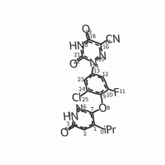 CC(C)c1cc(=O)[nH]nc1Oc1c(F)cc(-n2nc(C#N)c(=O)[nH]c2=O)cc1Cl